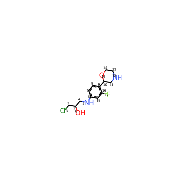 OC(CCl)CNc1ccc(C2CNCCO2)c(F)c1